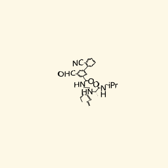 C=C/C=C\C(=C/C)C[C@@H](CN[C@@H](C)C(=O)NCC(C)C)NC(=O)c1cc(C=O)cc(-c2ccccc2C#N)c1